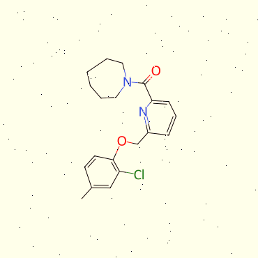 Cc1ccc(OCc2cccc(C(=O)N3CCCCCC3)n2)c(Cl)c1